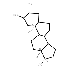 CC(=O)[C@H]1CCC2C3CCC4CC(C(C)(C)C)C(O)C[C@]4(C)C3CC[C@@]21C